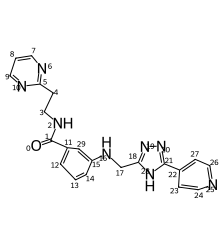 O=C(NCCc1ncccn1)c1cccc(NCc2nnc(-c3ccncc3)[nH]2)c1